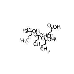 CCCC(=O)O.CCCC(=O)O.CCCC(=O)O.CCCC(=O)O.[Si]